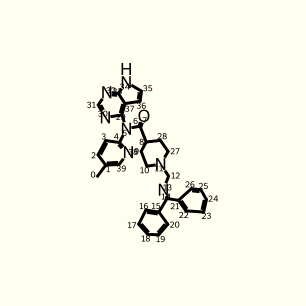 Cc1ccc(N(C(=O)C2CCN(CN=C(c3ccccc3)c3ccccc3)CC2)c2ncnc3[nH]ccc23)nc1